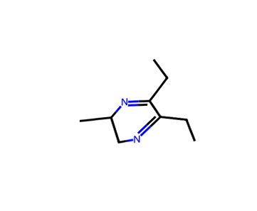 CCC1=NCC(C)N=C1CC